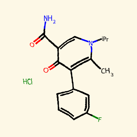 Cc1c(-c2cccc(F)c2)c(=O)c(C(N)=O)cn1C(C)C.Cl